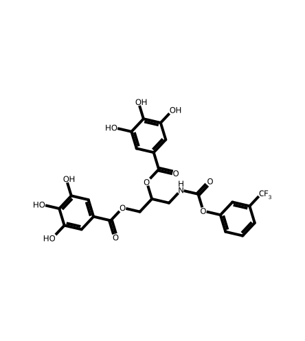 O=C(NCC(COC(=O)c1cc(O)c(O)c(O)c1)OC(=O)c1cc(O)c(O)c(O)c1)Oc1cccc(C(F)(F)F)c1